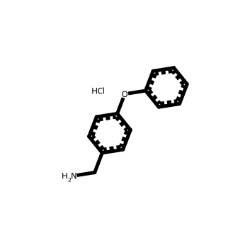 Cl.NCc1ccc(Oc2ccccc2)cc1